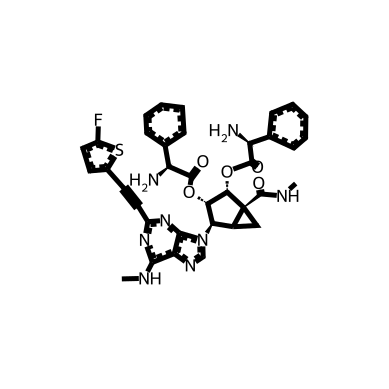 CNC(=O)[C@@]12CC1[C@@H](n1cnc3c(NC)nc(C#Cc4ccc(F)s4)nc31)[C@H](OC(=O)[C@@H](N)c1ccccc1)[C@@H]2OC(=O)[C@@H](N)c1ccccc1